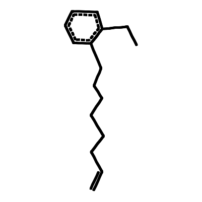 C=CCCCCCCc1ccccc1CC